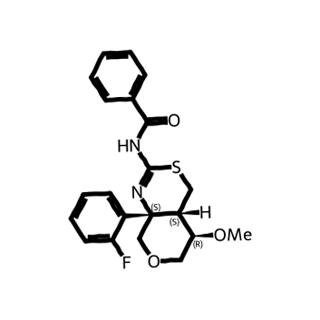 CO[C@H]1COC[C@]2(c3ccccc3F)N=C(NC(=O)c3ccccc3)SC[C@H]12